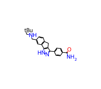 CC(C)(C)CNCc1ccc2c(c1)-c1[nH]nc(-c3ccc(C(N)=O)cc3)c1C2